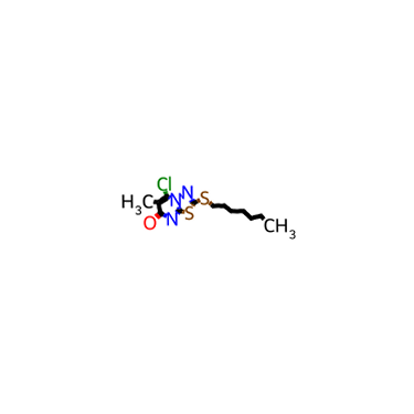 CCCCCCCSc1nn2c(Cl)c(C)c(=O)nc2s1